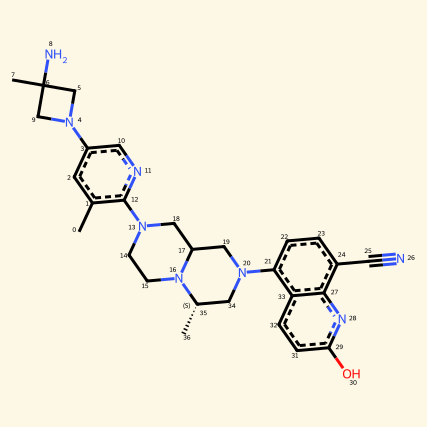 Cc1cc(N2CC(C)(N)C2)cnc1N1CCN2C(C1)CN(c1ccc(C#N)c3nc(O)ccc13)C[C@@H]2C